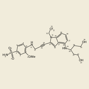 COc1cc(S(N)(=O)=O)ccc1NCC#Cc1cc2c(NC(CCO)CCO)cccc2n1CC(F)(F)F